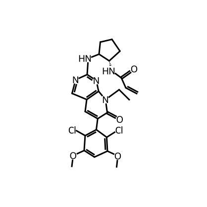 C=CC(=O)N[C@H]1CCCC1Nc1ncc2cc(-c3c(Cl)c(OC)cc(OC)c3Cl)c(=O)n(CC)c2n1